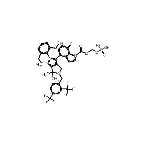 CCc1cccc(CC)c1-n1nc2c(c1-c1ccc(F)c3c1ccn3C(=O)OCOP(=O)(O)O)CN(Cc1ccc(C(F)(F)F)cc1C(F)(F)F)C2(C)C